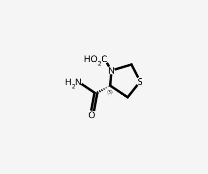 NC(=O)[C@H]1CSCN1C(=O)O